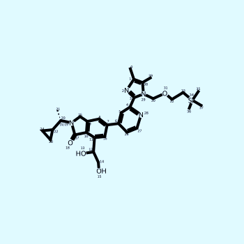 Cc1nc(-c2cc(-c3cc4c(c(C(O)CO)c3)C(=O)N([C@@H](C)C3CC3)C4)ccn2)n(COCC[Si](C)(C)C)c1C